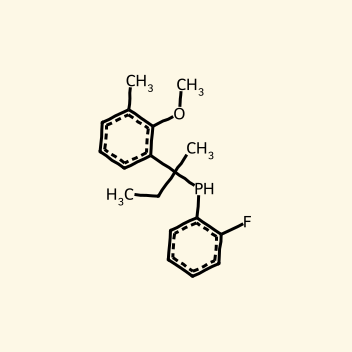 CCC(C)(Pc1ccccc1F)c1cccc(C)c1OC